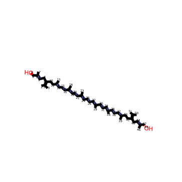 CC(C)=C(C/C=C(\C)CO)CC/C(C)=C/C=C/C(C)=C/C=C/C(C)=C/C=C/C=C(C)/C=C/C=C(C)/C=C/C=C(\C)CCC(C/C=C(\C)CO)=C(C)C